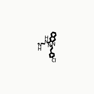 CNCCNc1nc(/C=C/c2ccc(Cl)cc2)nc2cc3ccccc3cc12